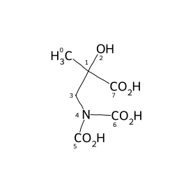 CC(O)(CN(C(=O)O)C(=O)O)C(=O)O